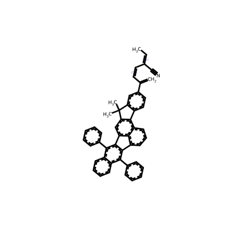 C=C(/C=C\C(C#N)=C/C)c1ccc2c(c1)C(C)(C)c1cc3c4c(cccc4c1-2)-c1c-3c(-c2ccccc2)c2ccccc2c1-c1ccccc1